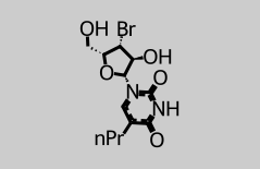 CCCc1cn([C@@H]2O[C@H](CO)[C@H](Br)[C@H]2O)c(=O)[nH]c1=O